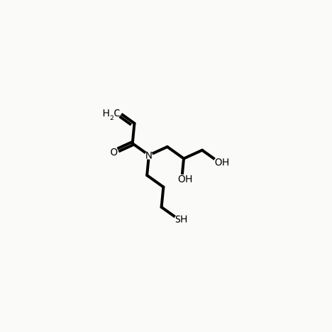 C=CC(=O)N(CCCS)CC(O)CO